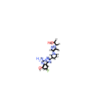 COc1cc(F)cc2c1nc(N)n1nc([C@@H]3CCCN(c4cnn(C(C)C(C)O)c4C)C3)nc21